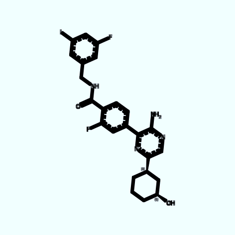 Nc1ncc([C@@H]2CCC[C@H](O)C2)nc1-c1ccc(C(=O)NCc2cc(F)cc(I)c2)c(F)c1